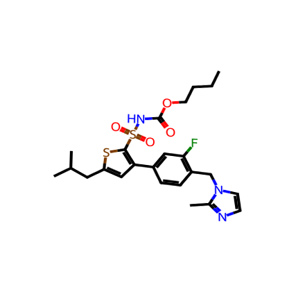 CCCCOC(=O)NS(=O)(=O)c1sc(CC(C)C)cc1-c1ccc(Cn2ccnc2C)c(F)c1